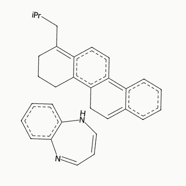 C1=CNc2ccccc2N=C1.CC(C)CC1=c2ccc3c(c2CCC1)CC=c1ccccc1=3